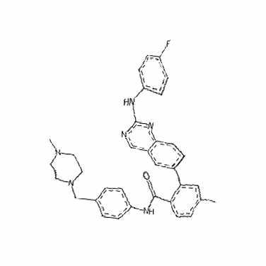 Cc1ccc(C(=O)Nc2ccc(CN3CCN(C)CC3)cc2)c(-c2ccc3nc(Nc4ccc(F)cc4)ncc3c2)c1